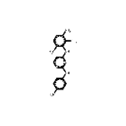 Cc1ccc(N)c(C)c1Nc1ccnc(Nc2ccc(N)cc2)n1